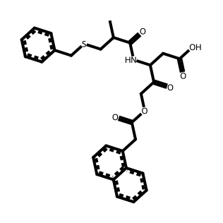 CC(CSCc1ccccc1)C(=O)NC(CC(=O)O)C(=O)COC(=O)Cc1cccc2ccccc12